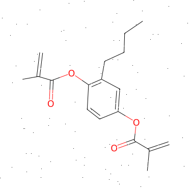 C=C(C)C(=O)Oc1ccc(OC(=O)C(=C)C)c(CCCC)c1